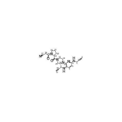 C#CCNc1ccc(NCC#C)c(N2CCN(C(=O)C3CCCN3C(=O)CC#N)CC2)n1